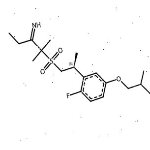 CCC(=N)C(C)(C)S(=O)(=O)C[C@@H](C)c1cc(OCC(C)C)ccc1F